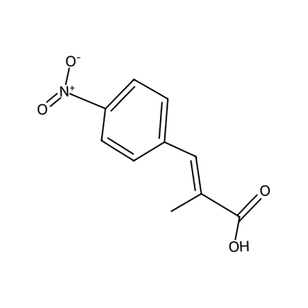 C/C(=C\c1ccc([N+](=O)[O-])cc1)C(=O)O